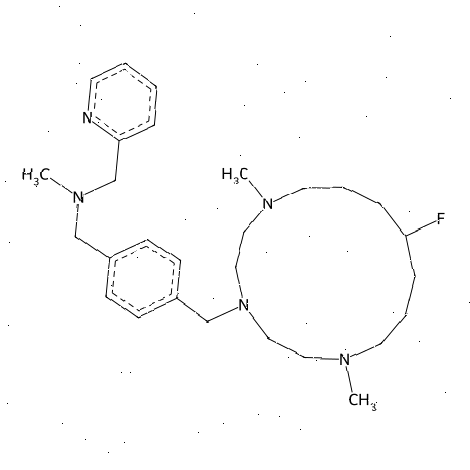 CN1CCCC(F)CCCN(C)CCN(Cc2ccc(CN(C)Cc3ccccn3)cc2)CC1